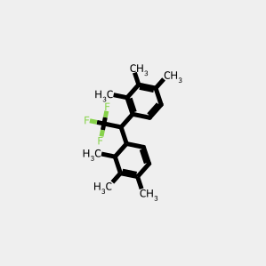 CC1=C(C)C(C)C(C(c2ccc(C)c(C)c2C)C(F)(F)F)C=C1